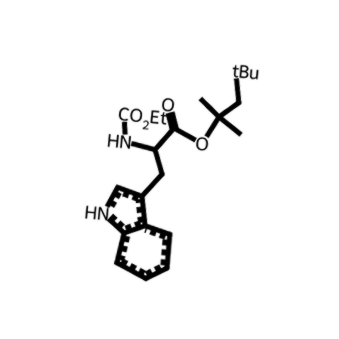 CCOC(=O)NC(Cc1c[nH]c2ccccc12)C(=O)OC(C)(C)CC(C)(C)C